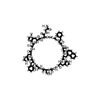 CCC1NC(=O)C(Cc2c[nH]cn2)NC(=O)C(Cc2ccccc2)N(C)C(=O)C(CC)NC(=O)C(CO)NC(=O)CNC(=O)C(Cc2c[nH]cn2)NC(=O)C(Cc2cccc3ccccc23)NC(=O)C(C(C)C)NC(=O)C(Cc2ccccc2)NC(=O)CSCC(C(=O)NCC(N)=O)NC(=O)C(Cc2cncn2C)NC1=O